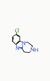 Clc1ccc2nc3n(c2c1)CCNCC3